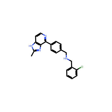 Cc1nc2c(-c3ccc(CNCc4ccccc4Cl)cc3)nccc2[nH]1